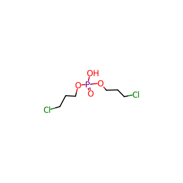 O=P(O)(OCCCCl)OCCCCl